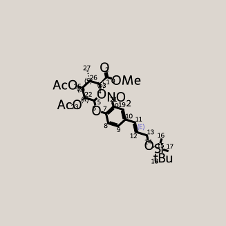 COC(=O)[C@H]1OC(Oc2ccc(/C=C/CO[Si](C)(C)C(C)(C)C)cc2[N+](=O)[O-])[C@H](OC(C)=O)[C@@H](OC(C)=O)[C@@H]1C